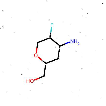 NC1C[C](CO)OCC1F